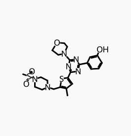 Cc1cc(-c2nc(-c3cccc(O)c3)nc(N3CCOCC3)n2)sc1CN1CCN(S(C)(=O)=O)CC1